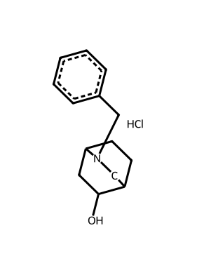 Cl.OC1CC2CCC1CN2Cc1ccccc1